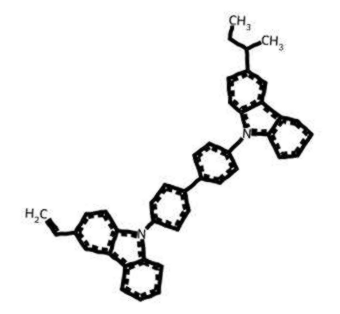 C=Cc1ccc2c(c1)c1ccccc1n2-c1ccc(-c2ccc(-n3c4ccccc4c4cc(C(C)CC)ccc43)cc2)cc1